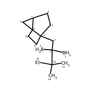 BC(B)(CC12CCC3CC31CC2)C(C)(C)CC